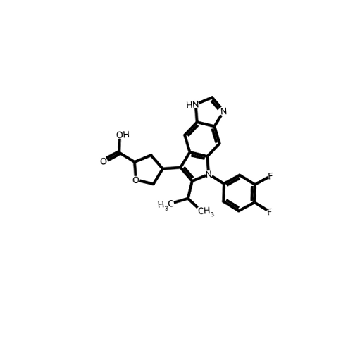 CC(C)c1c(C2COC(C(=O)O)C2)c2cc3[nH]cnc3cc2n1-c1ccc(F)c(F)c1